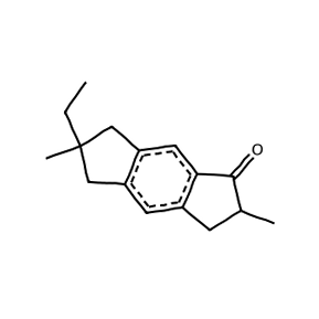 CCC1(C)Cc2cc3c(cc2C1)C(=O)C(C)C3